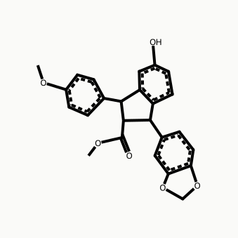 COC(=O)C1C(c2ccc3c(c2)OCO3)c2ccc(O)cc2C1c1ccc(OC)cc1